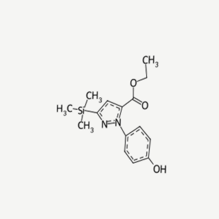 CCOC(=O)c1cc([Si](C)(C)C)nn1-c1ccc(O)cc1